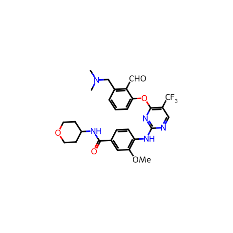 COc1cc(C(=O)NC2CCOCC2)ccc1Nc1ncc(C(F)(F)F)c(Oc2cccc(CN(C)C)c2C=O)n1